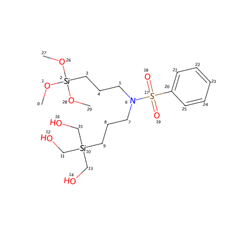 CO[Si](CCCN(CCC[Si](CO)(CO)CO)S(=O)(=O)c1ccccc1)(OC)OC